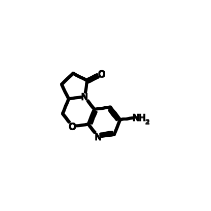 Nc1cnc2c(c1)N1C(=O)CCC1CO2